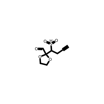 C#CCC([SH](=O)=O)C1(C=O)OCCO1